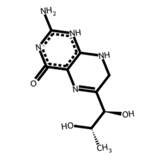 C[C@H](O)[C@H](O)C1=Nc2c([nH]c(N)nc2=O)NC1